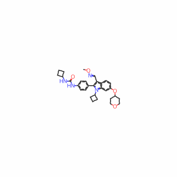 CON=Cc1c(-c2ccc(NC(=O)NC3CCC3)cc2)n(C2CCC2)c2cc(OC3CCOCC3)ccc12